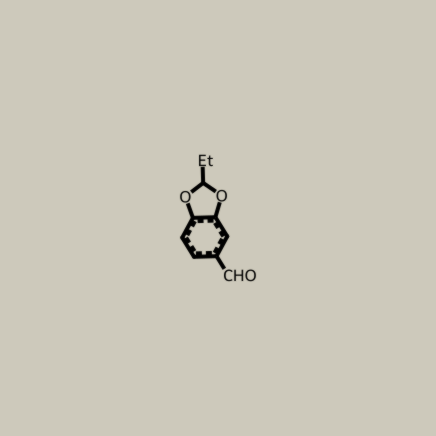 CCC1Oc2ccc(C=O)cc2O1